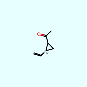 C=C[C@@H]1CC1C(C)=O